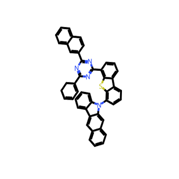 C1=CCCC(c2nc(-c3ccc4ccccc4c3)nc(-c3cccc4c3sc3c(-n5c6ccccc6c6cc7ccccc7cc65)cccc34)n2)=C1